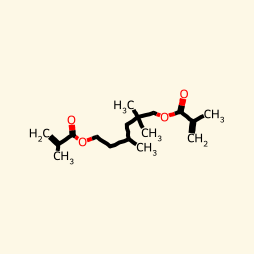 C=C(C)C(=O)OCCC(C)CC(C)(C)COC(=O)C(=C)C